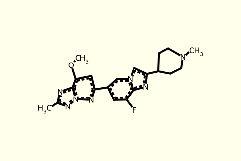 COc1cc(-c2cc(F)c3nc(C4CCN(C)CC4)cn3c2)nn2nc(C)nc12